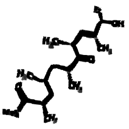 CC[C@@H](O)[C@H](C)C[C@@H](C)C(=O)[C@H](C)C[C@H](C)C[C@@H](C)C(=O)SC